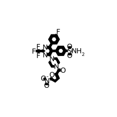 NS(=O)(=O)c1ccc(-c2c(-c3ccc(F)cc3)nc(C(F)(F)F)nc2N2CCN(C(=O)C3=CCC([N+](=O)[O-])O3)CC2)cc1